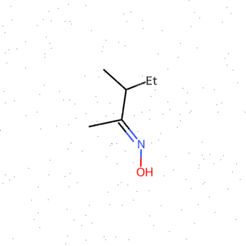 CCC(C)C(C)=NO